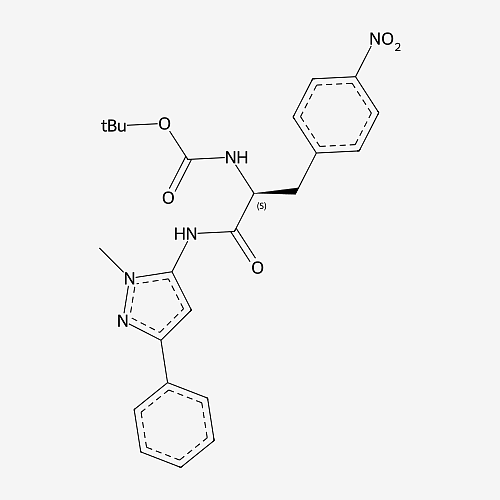 Cn1nc(-c2ccccc2)cc1NC(=O)[C@H](Cc1ccc([N+](=O)[O-])cc1)NC(=O)OC(C)(C)C